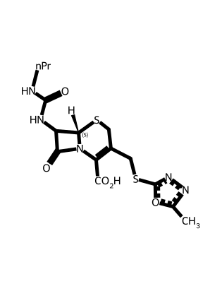 CCCNC(=O)NC1C(=O)N2C(C(=O)O)=C(CSc3nnc(C)o3)CS[C@@H]12